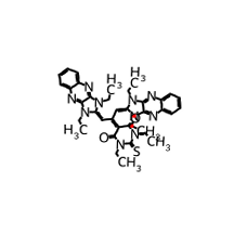 CCN1C(=O)C(=C(C=C2N(CC)c3nc4ccccc4nc3N2CC)C=C2N(CC)c3nc4ccccc4nc3N2CC)C(=O)N(CC)C1=S